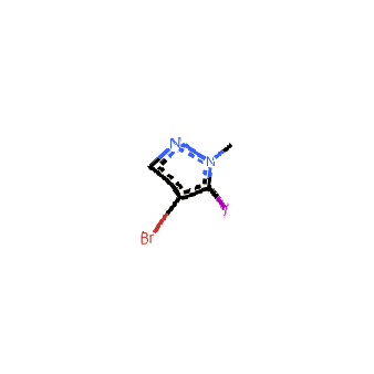 Cn1ncc(Br)c1I